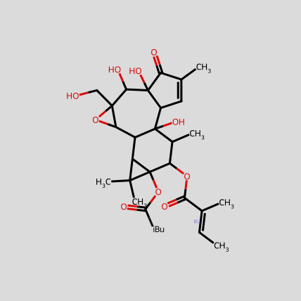 C/C=C(\C)C(=O)OC1C(C)C2(O)C(C3OC3(CO)C(O)C3(O)C(=O)C(C)=CC32)C2C(C)(C)C12OC(=O)C(C)CC